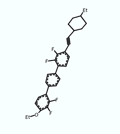 CCOc1ccc(-c2ccc(-c3ccc(C#CC4CCC(CC)CC4)c(F)c3F)cc2)c(F)c1F